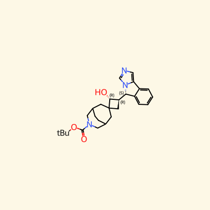 CC(C)(C)OC(=O)N1CC2CCC(C1)CC1(C2)C[C@H]([C@H]2c3ccccc3-c3cncn32)[C@H]1O